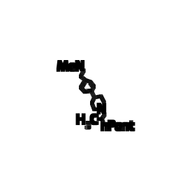 CCCCCC(C)CN1CCC(c2ccc(CCNC)cc2)CC1